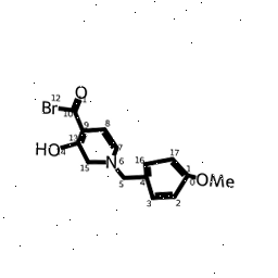 COc1ccc(CN2C=CC(C(=O)Br)=C(O)C2)cc1